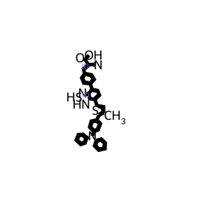 Cc1cc(C2=CC=C(c3ccc(/C=C(\C#N)C(=O)O)cc3)/C(=N/S)C2=N)sc1-c1ccc(N(c2ccccc2)c2ccccc2)cc1